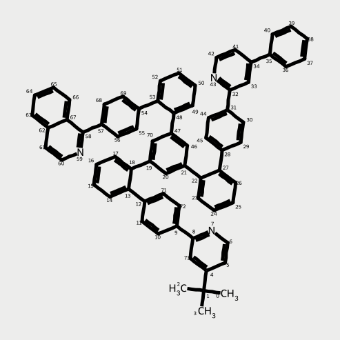 CC(C)(C)c1ccnc(-c2ccc(-c3ccccc3-c3cc(-c4ccccc4-c4ccc(-c5cc(-c6ccccc6)ccn5)cc4)cc(-c4ccccc4-c4ccc(-c5nccc6ccccc56)cc4)c3)cc2)c1